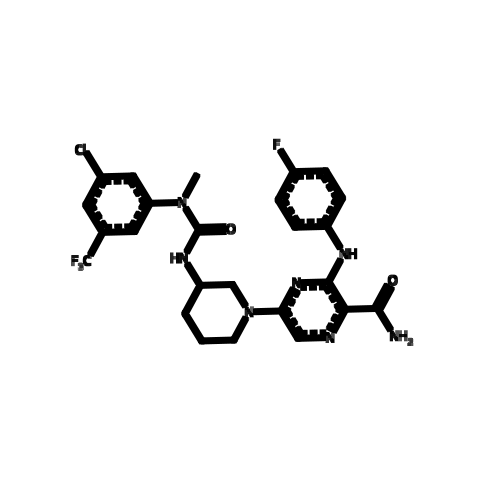 CN(C(=O)NC1CCCN(c2cnc(C(N)=O)c(Nc3ccc(F)cc3)n2)C1)c1cc(Cl)cc(C(F)(F)F)c1